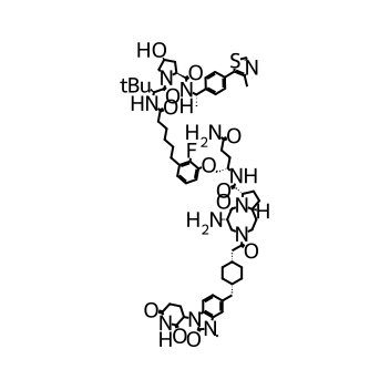 Cc1ncsc1-c1ccc([C@H](C)NC(=O)[C@@H]2C[C@@H](O)CN2C(=O)[C@@H](NC(=O)CCCCCc2cccc(OC[C@H](CCC(N)=O)NC(=O)[C@@H]3CC[C@@H]4CCN(C(=O)C[C@H]5CC[C@@H](Cc6ccc7c(c6)n(C)c(=O)n7C6CCC(=O)NC6=O)CC5)C[C@H](N)C(=O)N43)c2F)C(C)(C)C)cc1